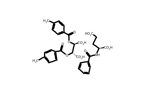 Cc1ccc(C(=O)O[C@@H](C(=O)O)[C@@H](OC(=O)c2ccc(C)cc2)C(=O)O)cc1.O=C(O)CC[C@H](NC(=O)c1ccccc1)C(=O)O